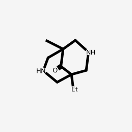 CCC12CNCC(C)(CNC1)C2=O